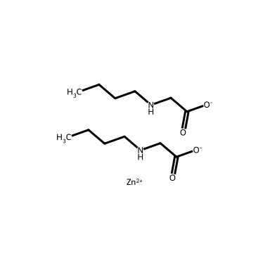 CCCCNCC(=O)[O-].CCCCNCC(=O)[O-].[Zn+2]